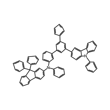 c1ccc(-c2cc(-c3cccc(N(c4ccccc4)c4ccc5c(c4)C(c4ccccc4)(c4ccccc4)c4ccccc4-5)c3)cc(-c3ccc4c(c3)c3ccccc3n4-c3ccccc3)c2)cc1